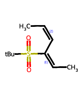 C/C=C\C(=C/C)S(=O)(=O)C(C)(C)C